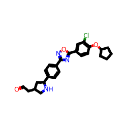 O=CCC1CNC(c2ccc(-c3noc(-c4ccc(OC5CCCC5)c(Cl)c4)n3)cc2)C1